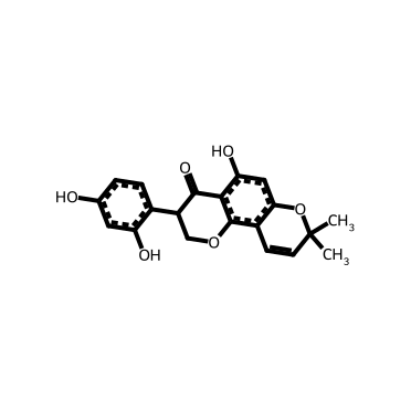 CC1(C)C=Cc2c(cc(O)c3c2OCC(c2ccc(O)cc2O)C3=O)O1